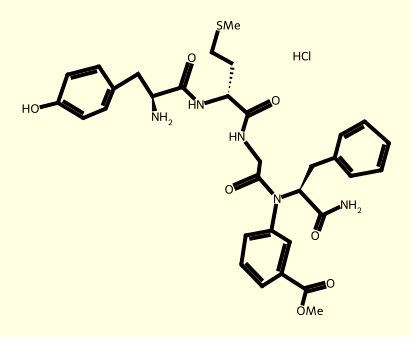 COC(=O)c1cccc(N(C(=O)CNC(=O)[C@@H](CCSC)NC(=O)[C@@H](N)Cc2ccc(O)cc2)[C@@H](Cc2ccccc2)C(N)=O)c1.Cl